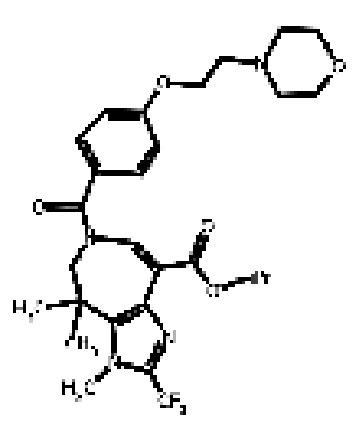 CC(C)OC(=O)C1=CN(C(=O)c2ccc(OCCN3CCOCC3)cc2)CC(C)(C)c2c1nc(C(F)(F)F)n2C